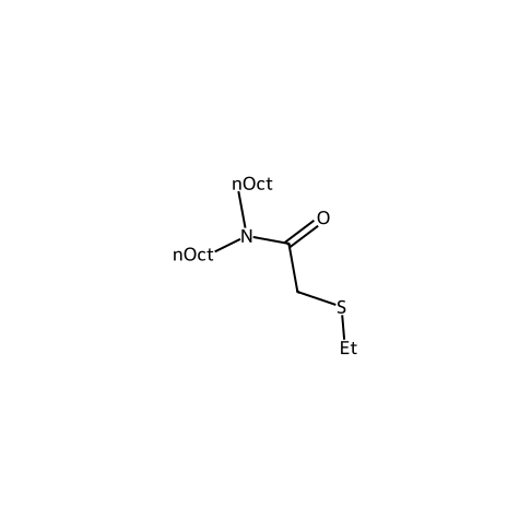 CCCCCCCCN(CCCCCCCC)C(=O)CSCC